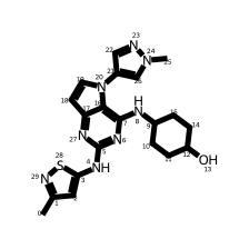 Cc1cc(Nc2nc(NC3CCC(O)CC3)c3c(ccn3-c3cnn(C)c3)n2)sn1